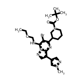 CCOCNc1c(Br)c(C2CCCN(C(=O)OC(C)(C)C)C2)nc2c(-c3cnn(C)c3)cnn12